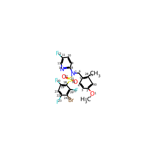 COc1ccc(CN(c2ccc(F)cn2)S(=O)(=O)c2c(F)cc(F)c(Br)c2F)c(C)c1